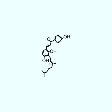 CC(C)=CCC/C(C)=C/Cc1c(O)ccc(/C=C/C(=O)c2ccc(O)cc2)c1O